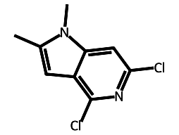 Cc1cc2c(Cl)nc(Cl)cc2n1C